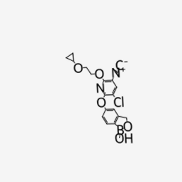 [C-]#[N+]c1cc(Cl)c(Oc2ccc3c(c2)COB3O)nc1OCCOC1CC1